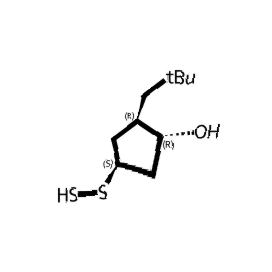 CC(C)(C)C[C@@H]1C[C@H](SS)C[C@H]1O